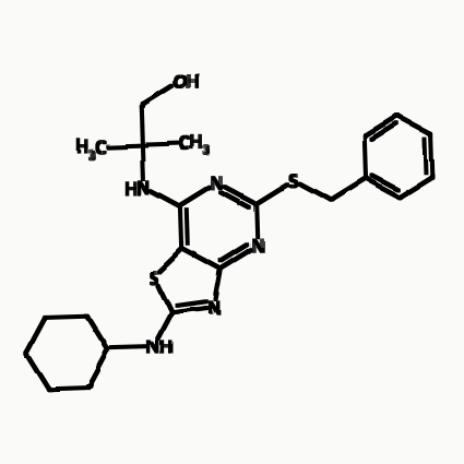 CC(C)(CO)Nc1nc(SCc2ccccc2)nc2nc(NC3CCCCC3)sc12